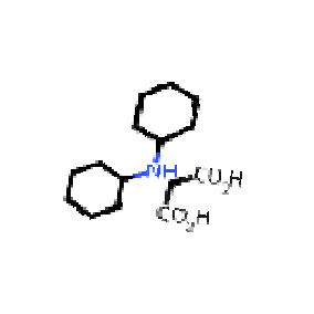 C1CCC(NC2CCCCC2)CC1.O=C(O)CC(=O)O